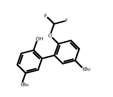 CC(C)(C)c1ccc(O)c(-c2cc(C(C)(C)C)ccc2OC(F)F)c1